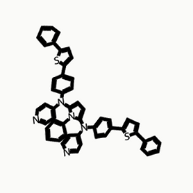 c1ccc(-c2ccc(-c3ccc(N(c4ccncc4)c4ccc(N(c5ccncc5)c5ccc(-c6ccc(-c7ccccc7)s6)cc5)n4-c4ccccc4)cc3)s2)cc1